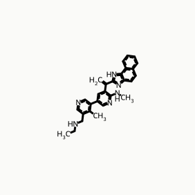 C=C(c1nc2ccc3ccccc3c2[nH]1)c1cc(-c2cncc(CNCC)c2C)cnc1NC